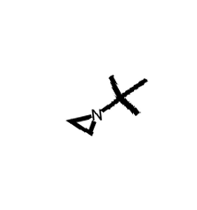 CC(C)(C)N1CC1